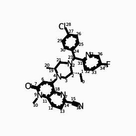 CC[C@@H]1CN(c2cc(=O)n(C)c3ccc(C#N)nc23)[C@@H](C)CN1C(c1ccc(Cl)cc1)c1ccc(F)cn1